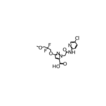 COCC(F)(F)COc1cc(C(=O)O)n(CC(=O)Nc2ccc(Cl)cn2)n1